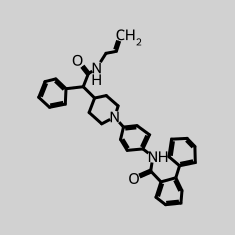 C=CCNC(=O)C(c1ccccc1)C1CCN(c2ccc(NC(=O)c3ccccc3-c3ccccc3)cc2)CC1